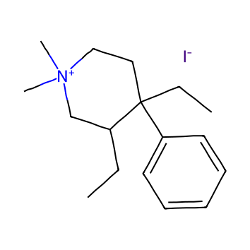 CCC1C[N+](C)(C)CCC1(CC)c1ccccc1.[I-]